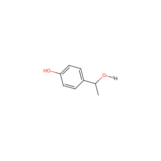 [2H]OC(C)c1ccc(O)cc1